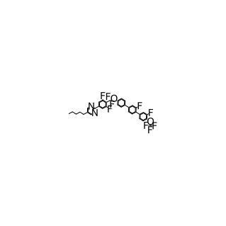 CCCCCc1cnc(-c2cc(F)c(C(F)(F)Oc3ccc(-c4ccc(-c5ccc(OC(F)(F)F)c(F)c5)c(F)c4)cc3)c(F)c2)nc1